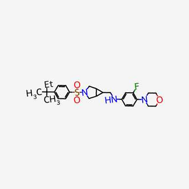 CCC(C)(C)c1ccc(S(=O)(=O)N2CC3C(CNc4ccc(N5CCOCC5)c(F)c4)C3C2)cc1